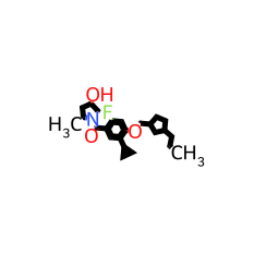 CCCC1CCC(COc2cc(F)c(C(=O)N3CC(O)CC3C)cc2C2CC2)C1